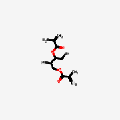 C=C(C)C(=O)OCC(C(C)C)C(CC(C)C)OC(=O)C(=C)C